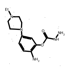 CCN1CCN(c2ccc(N)c(OC(=O)NN)c2)CC1